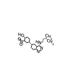 CC(C)CCNc1ncnc2ccc(-c3ccc(O)c([N+](=O)[O-])c3)cc12